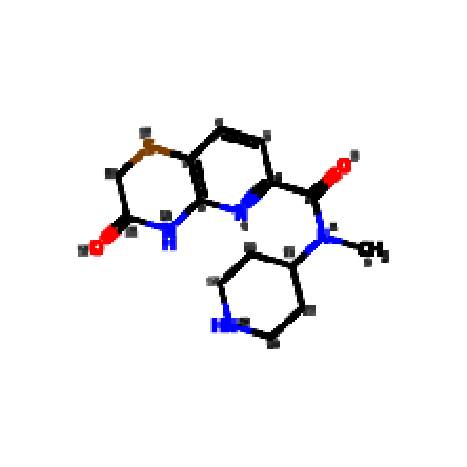 CN(C(=O)c1ccc2c(n1)NC(=O)CS2)C1CCNCC1